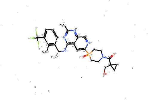 Cc1nc(N[C@H](C)c2cccc(C(F)(F)F)c2C)c2cc(P3(=O)CCN(C(=O)C4(CO)CC4)CC3)ncc2n1